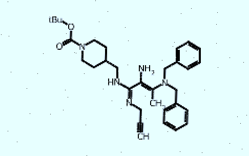 C#CC/N=C(NCC1CCN(C(=O)OC(C)(C)C)CC1)\C(N)=C(/C)N(Cc1ccccc1)Cc1ccccc1